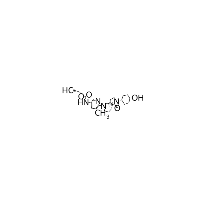 C#CCOC(=O)Nc1cnc(N2CCC[C@@]3(CCN([C@H]4CC[C@@H](O)CC4)C3=O)C2)c(C)c1